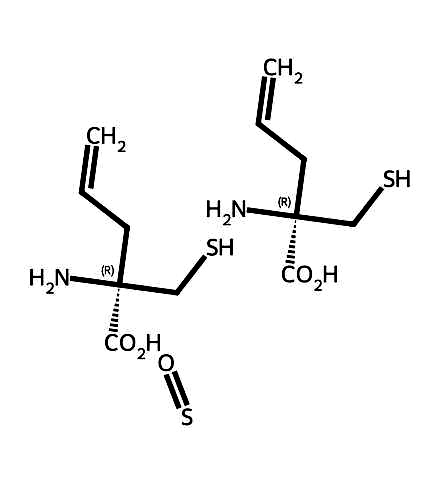 C=CC[C@](N)(CS)C(=O)O.C=CC[C@](N)(CS)C(=O)O.O=S